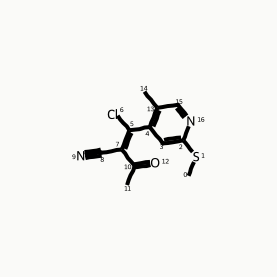 CSc1cc(/C(Cl)=C(/C#N)C(C)=O)c(C)cn1